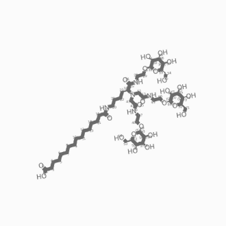 O=C(O)CCCCCCCCCCCCCCC(=O)NCCCC[C@@H](C(=O)NCCO[C@@H]1O[C@@H](CO)[C@H](O)[C@@H](O)[C@H]1O)N(CC(=O)NCCO[C@H]1O[C@H](CO)[C@@H](O)[C@H](O)[C@@H]1O)CC(=O)NCCO[C@H]1O[C@H](CO)[C@@H](O)[C@H](O)[C@@H]1O